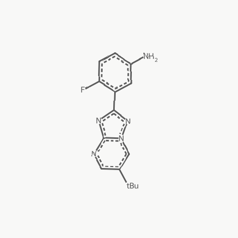 CC(C)(C)c1cnc2nc(-c3cc(N)ccc3F)nn2c1